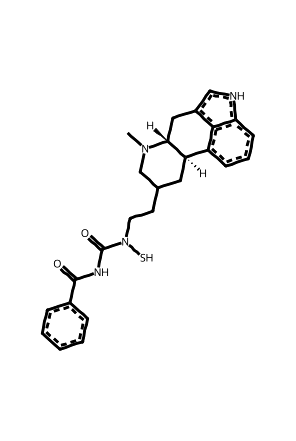 CN1CC(CCN(S)C(=O)NC(=O)c2ccccc2)C[C@@H]2c3cccc4[nH]cc(c34)C[C@H]21